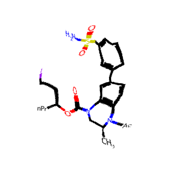 CCCC(CCI)OC(=O)N1C[C@H](C)N(C(C)=O)c2ccc(-c3cccc(S(N)(=O)=O)c3)cc21